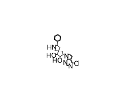 OC1C(n2ccc3c(Cl)ncnc32)CC2(CNC(c3ccccc3)C2)C1O